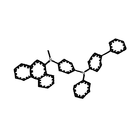 CN(c1ccc(N(c2ccccc2)c2ccc(-c3ccccc3)cc2)cc1)c1cc2ccccc2c2ccccc12